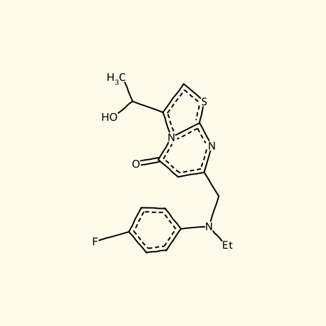 CCN(Cc1cc(=O)n2c(C(C)O)csc2n1)c1ccc(F)cc1